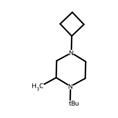 CC1CN(C2CCC2)CCN1C(C)(C)C